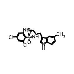 Cc1ccc2[nH]cc(CC(CF)NS(=O)(=O)c3c(N)cc(Cl)cc3Cl)c2c1